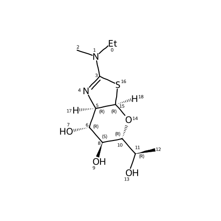 CCN(C)C1=N[C@@H]2[C@@H](O)[C@H](O)[C@@H]([C@@H](C)O)O[C@@H]2S1